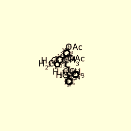 C=C1CCC2[C@H](CCCC(C)(C)[Si](O)(c3ccccc3)c3ccccc3)C([C@@]3(C)CC[C@H](OC(C)=O)C[C@@H]3OC(C)=O)CC[C@]12C